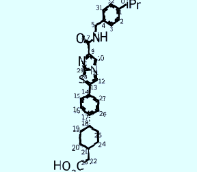 CC(C)c1ccc(CNC(=O)c2cn3cc(-c4ccc([C@H]5CC[C@H](CC(=O)O)CC5)cc4)sc3n2)cc1